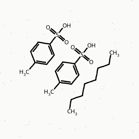 CCCCCCCC.Cc1ccc(S(=O)(=O)O)cc1.Cc1ccc(S(=O)(=O)O)cc1